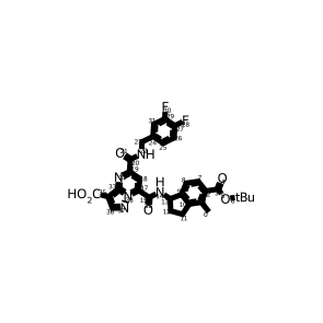 Cc1c(C(=O)OC(C)(C)C)ccc2c1CCC2NC(=O)c1cc(C(=O)NCc2ccc(F)c(F)c2)nc2c(C(=O)O)cnn12